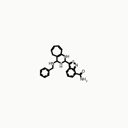 NC(=O)c1cccc2c(C3NC4=C(CC=CC=C4)C(NCc4ccccc4)N3)snc12